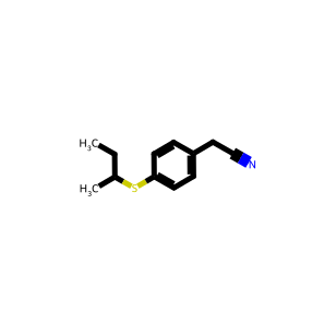 CCC(C)Sc1ccc(CC#N)cc1